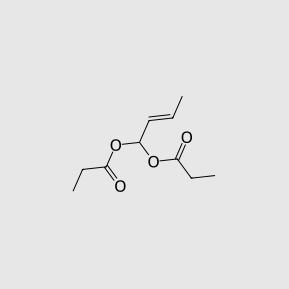 CC=CC(OC(=O)CC)OC(=O)CC